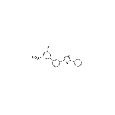 O=C(O)c1cc(F)cc(-c2cccc(-c3csc(-c4ccccc4)n3)c2)c1